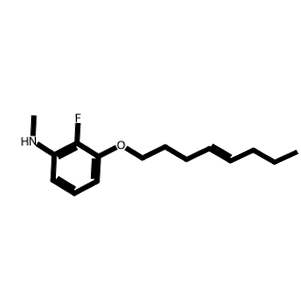 CCCC=CCCCOc1cccc(NC)c1F